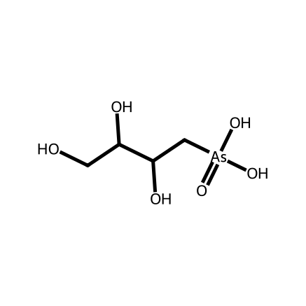 O=[As](O)(O)CC(O)C(O)CO